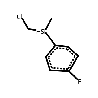 C[SiH](CCl)c1ccc(F)cc1